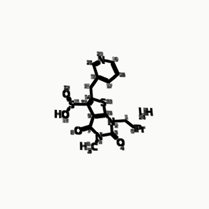 CC(C)Cn1c(=O)n(C)c(=O)c2c(S(=O)O)c(Cc3cccnc3)sc21.[LiH]